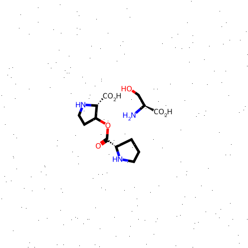 N[C@@H](CO)C(=O)O.O=C(OC1CCN[C@@H]1C(=O)O)[C@@H]1CCCN1